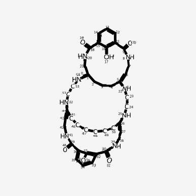 CC12CCC/C(=C\CNC(=O)c3cccc(c3O)C(=O)NC1)NCCN/C1=C/CNC(=O)c3cccc(c3O)C(=O)NC/C=C(\CCCCCC1)NCCN2